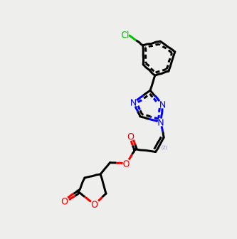 O=C(/C=C\n1cnc(-c2cccc(Cl)c2)n1)OCC1COC(=O)C1